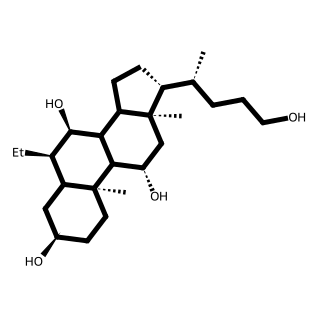 CC[C@@H]1C2C[C@H](O)CC[C@]2(C)C2C(C3CC[C@H]([C@H](C)CCCO)[C@@]3(C)C[C@@H]2O)[C@@H]1O